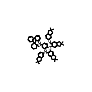 CC1(C)Cc2ccc(N3c4cc5c(cc4B4c6cc7c(cc6N(c6ccc8c(c6)CC(C)(C)C8)c6cc(N8c9ccccc9C9(c%10ccccc%10)CCCCC89C)cc3c64)CC(C)(C)C7)CC(C)(C)C5)cc2C1